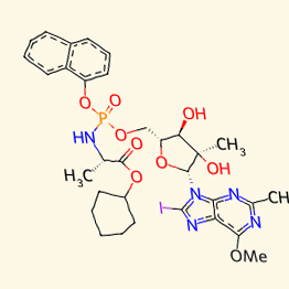 COc1nc(C)nc2c1nc(I)n2[C@@H]1O[C@H](COP(=O)(N[C@@H](C)C(=O)OC2CCCCC2)Oc2cccc3ccccc23)[C@@H](O)[C@@]1(C)O